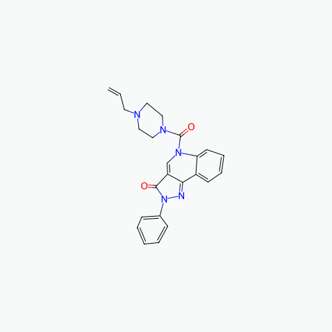 C=CCN1CCN(C(=O)n2cc3c(=O)n(-c4ccccc4)nc-3c3ccccc32)CC1